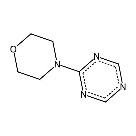 c1ncnc(N2CCOCC2)n1